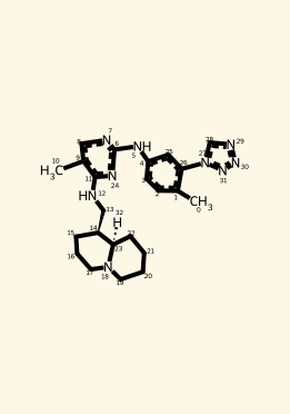 Cc1ccc(Nc2ncc(C)c(NC[C@@H]3CCCN4CCCC[C@H]34)n2)cc1-n1cnnn1